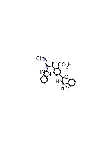 C=C(/C(=C\C=C/Cl)c1nc2ccccc2[nH]1)c1ccc(C(=O)N[C@@H](CCC)c2ccccc2)cc1C(=O)O